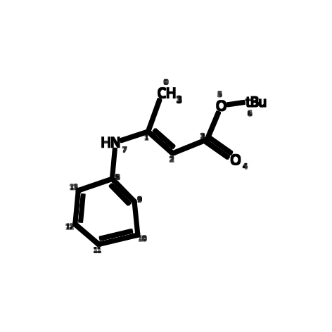 CC(=CC(=O)OC(C)(C)C)Nc1ccccc1